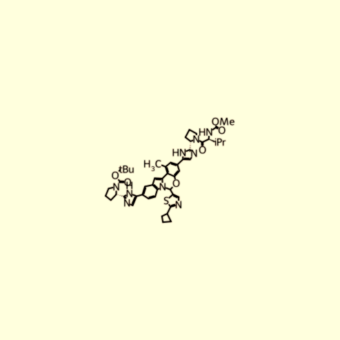 COC(=O)N[C@H](C(=O)N1CCC[C@H]1c1ncc(-c2cc(C)c3c(c2)OC(c2cnc(C4CCC4)s2)n2c-3cc3cc(-c4cnc([C@@H]5CCCN5C(=O)OC(C)(C)C)[nH]4)ccc32)[nH]1)C(C)C